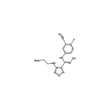 C#Cc1cc(N/C(=N\O)c2nonc2NCCSC)ccc1F